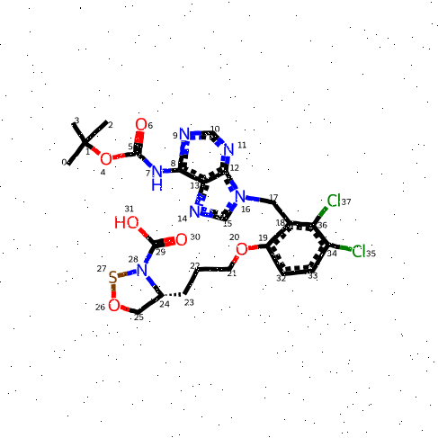 CC(C)(C)OC(=O)Nc1ncnc2c1ncn2Cc1c(OCCC[C@@H]2COSN2C(=O)O)ccc(Cl)c1Cl